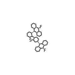 Fc1c2ccccc2c(-c2ccc3c(c2)sc2cccc(-c4c5ccccc5c(F)c5ccccc45)c23)c2ccccc12